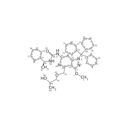 COc1nn(C(c2ccccc2)(c2ccccc2)c2ccccc2)c2cc(NC(=O)N[C@@H](C)c3ccccc3)nc(COCC(C)O)c12